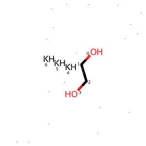 OCCO.[KH].[KH].[KH]